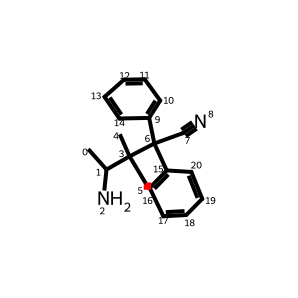 CC(N)C(C)(C)C(C#N)(c1ccccc1)c1ccccc1